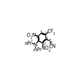 CCCN(CCC)c1c([N+](=O)[O-])cc(C(F)(F)F)c(SC#N)c1[N+](=O)[O-]